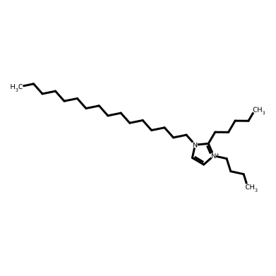 CCCCCCCCCCCCCCCCn1cc[n+](CCCC)c1CCCCC